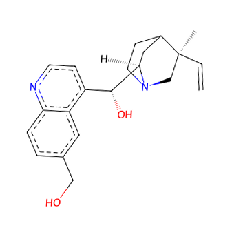 C=C[C@@]1(C)C[N@@]2CCC1C[C@@H]2[C@H](O)c1ccnc2ccc(CO)cc12